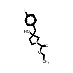 CCOC(=O)N1CCC(O)(Cc2ccc(F)cc2)C1